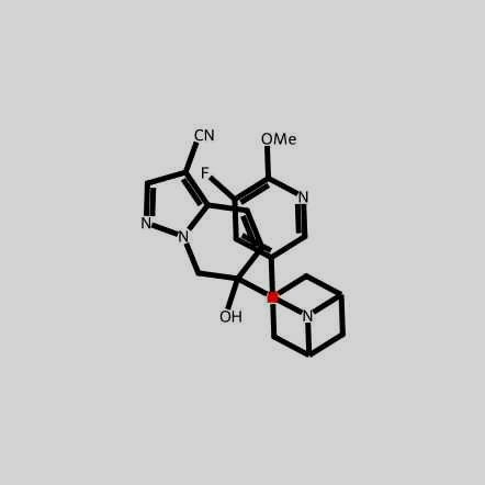 COc1ncc(CN2C3CC2CN(C2(O)C=Cc4c(C#N)cnn4C2)C3)cc1F